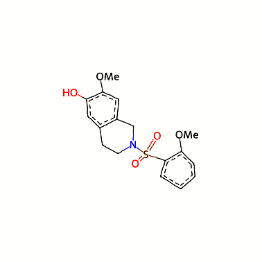 COc1cc2c(cc1O)CCN(S(=O)(=O)c1ccccc1OC)C2